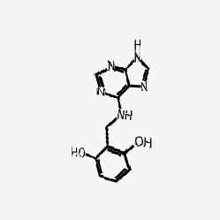 Oc1cccc(O)c1CNc1ncnc2[nH]cnc12